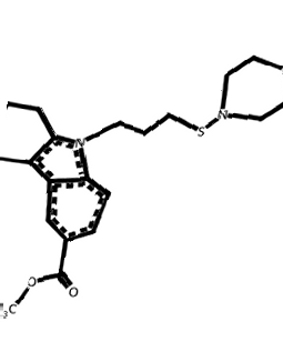 COC(=O)c1ccc2c(c1)c1c(n2CCCSN2CCOCC2)CCCC1